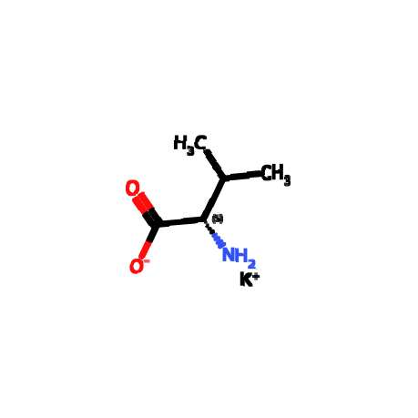 CC(C)[C@H](N)C(=O)[O-].[K+]